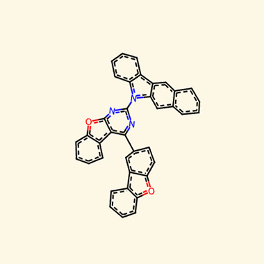 c1ccc2cc3c(cc2c1)c1ccccc1n3-c1nc(-c2ccc3oc4ccccc4c3c2)c2c(n1)oc1ccccc12